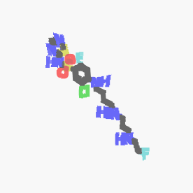 O=S(=O)(Nc1ncns1)c1cc(Cl)c(NCCCCNCCCNCCF)cc1F